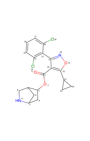 O=C(OC1CC2CC1CN2)c1c(-c2c(Cl)cccc2Cl)noc1C1CC1